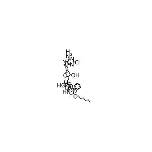 CCCCCCOC(=O)[C@H](C)NP(=O)(Oc1ccccc1)OP(=O)(O)OCC1OC2C(C1O)C2n1cnc2c(N)nc(Cl)nc21